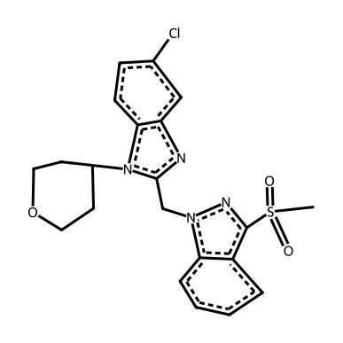 CS(=O)(=O)c1nn(Cc2nc3cc(Cl)ccc3n2C2CCOCC2)c2ccccc12